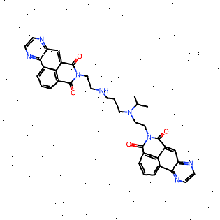 CC(C)N(CCCNCCN1C(=O)c2cccc3c2c(cc2nccnc23)C1=O)CCN1C(=O)c2cccc3c2c(cc2nccnc23)C1=O